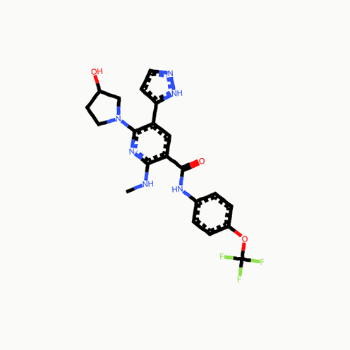 CNc1nc(N2CCC(O)C2)c(-c2ccn[nH]2)cc1C(=O)Nc1ccc(OC(F)(F)F)cc1